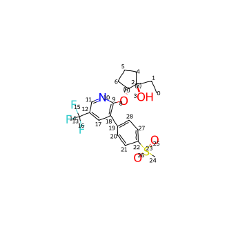 CC[C@@]1(O)CCC[C@H]1Oc1ncc(C(F)(F)F)cc1-c1ccc(S(C)(=O)=O)cc1